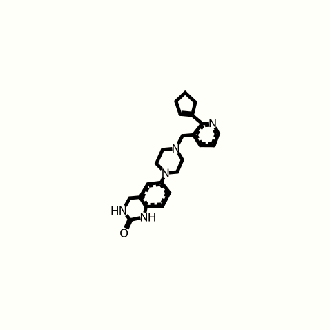 O=C1NCc2cc(N3CCN(Cc4cccnc4C4=CCCC4)CC3)ccc2N1